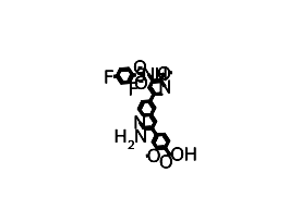 COc1cc(-c2cc3cc(-c4cnc(OC)c(NS(=O)(=O)c5ccc(F)cc5F)c4)ccc3nc2N)ccc1C(=O)O